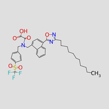 CCCCCCCCCCCc1noc(-c2ccc(CN(Cc3ccc(S(=O)(=O)C(F)(F)F)cc3)C(=O)C(=O)O)c3ccccc23)n1